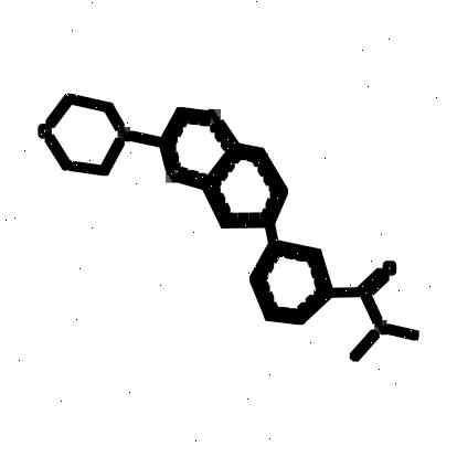 CN(C)C(=O)c1cccc(-c2ccc3ncc(N4CCOCC4)nc3c2)c1